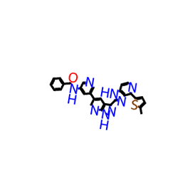 Cc1ccc(-c2nccc3[nH]c(-c4n[nH]c5ncc(-c6cncc(NC(=O)c7ccccc7)c6)cc45)nc23)s1